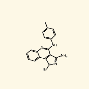 Cc1ccc(Nc2nc3ccccc3c3c2c(N)nn3Br)cc1